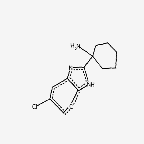 NC1(c2nc3cc(Cl)ccc3[nH]2)CCCCC1